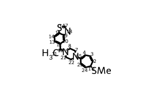 CSC1C=CC=C(N2CCN(C(C)c3ccc4scnc4c3)CC2)C=C1